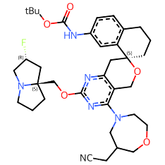 CC(C)(C)OC(=O)Nc1ccc2c(c1)[C@]1(CCC2)Cc2nc(OC[C@@]34CCCN3C[C@H](F)C4)nc(N3CCOCC(CC#N)C3)c2CO1